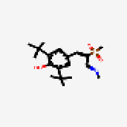 C/N=C/C(=C\c1cc(C(C)(C)C)c(O)c(C(C)(C)C)c1)S(C)(=O)=O